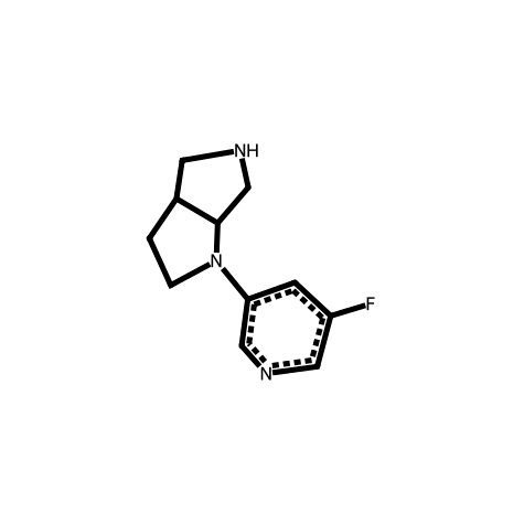 Fc1cncc(N2CCC3CNCC32)c1